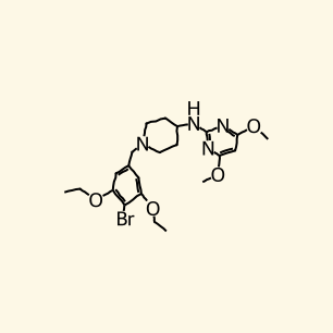 CCOc1cc(CN2CCC(Nc3nc(OC)cc(OC)n3)CC2)cc(OCC)c1Br